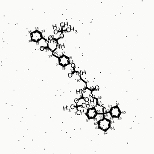 CC(C)(C)OC(=O)N[C@@H](CCNC(=O)Oc1ccc(C[C@H](NC(=O)OC(C)(C)C)C(=O)Nc2ccccc2)cc1)C(=O)NCCSC(c1ccccc1)(c1ccccc1)c1ccccc1